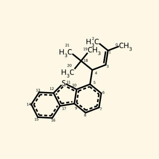 CC(C)=CC(c1cccc2c1sc1ccccc12)C(C)(C)C